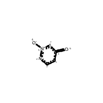 O=c1ccn[n+]([O-])s1